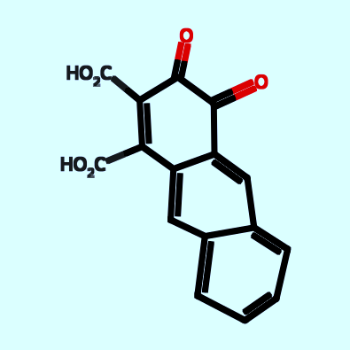 O=C(O)C1=C(C(=O)O)c2cc3ccccc3cc2C(=O)C1=O